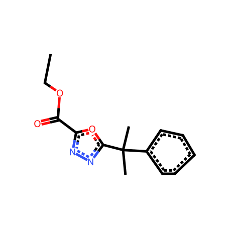 CCOC(=O)c1nnc(C(C)(C)c2ccccc2)o1